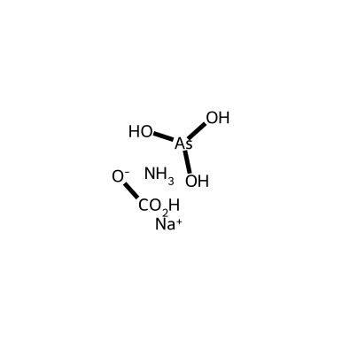 N.O=C([O-])O.O[As](O)O.[Na+]